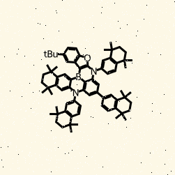 CC(C)(C)c1ccc2oc3c(c2c1)B1c2cc4c(cc2N(c2ccc5c(c2)C(C)(C)CCC5(C)C)c2cc(-c5ccc6c(c5)C(C)(C)CCC6(C)C)cc(c21)N3c1ccc2c(c1)C(C)(C)CCC2(C)C)C(C)(C)CCC4(C)C